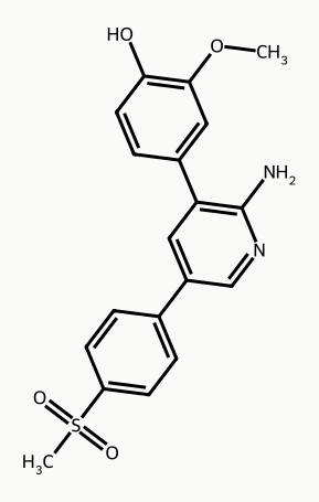 COc1cc(-c2cc(-c3ccc(S(C)(=O)=O)cc3)cnc2N)ccc1O